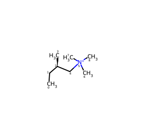 CC[C@@H](C)C[N+](C)(C)C